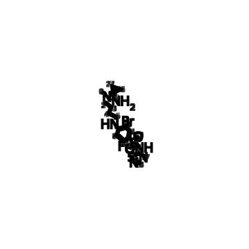 CN(CCCCNc1cc(F)c(S(=O)(=O)Nc2ncns2)cc1Br)C1(N)CC1